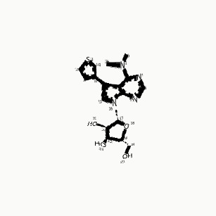 CN(C)c1ncnc2c1c(-c1ccsc1)cn2[C@@H]1O[C@H](CO)[C@@H](O)[C@H]1O